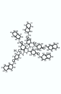 CCC(CC(CC(CC(CC(C)c1ccc(OCc2ccc3ccccc3c2)cc1)c1ccc(OCc2ccc3ccccc3c2)cc1)c1ccc(OCc2ccc3ccccc3c2)cc1)c1ccc(OCc2ccc3ccccc3c2)cc1)c1ccc(OCc2ccc3ccccc3c2)cc1